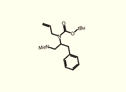 C=CCN(C(=O)OC(C)(C)C)C(CNC)Cc1ccccc1